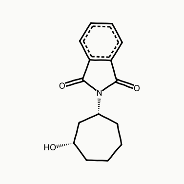 O=C1c2ccccc2C(=O)N1[C@@H]1CCCC[C@H](O)C1